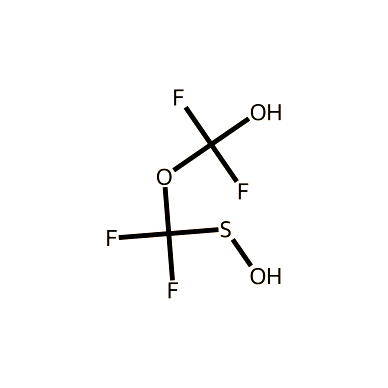 OSC(F)(F)OC(O)(F)F